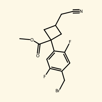 COC(=O)C1(c2cc(F)c(CBr)cc2F)CC(CC#N)C1